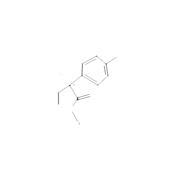 CC(C)OC(=O)[C@@](N)(CC(C)(C)C)c1ccc(C(F)(F)F)cc1